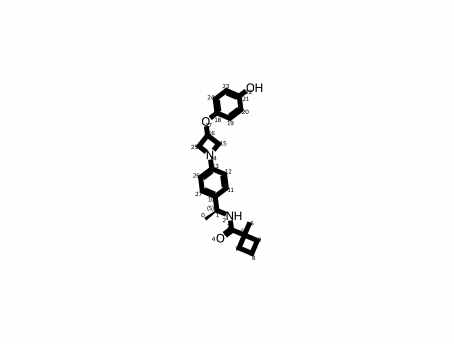 C[C@H](NC(=O)C1(C)CCC1)c1ccc(N2CC(Oc3ccc(O)cc3)C2)cc1